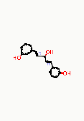 Oc1cccc(/C=C/C(O)/C=C/c2cccc(O)c2)c1